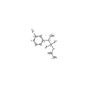 CC(C)NCC(F)(F)C(O)c1cccc(F)c1